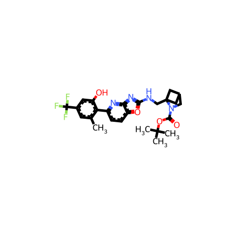 Cc1cc(C(F)(F)F)cc(O)c1-c1ccc2oc(NCC34CC(CN3C(=O)OC(C)(C)C)C4)nc2n1